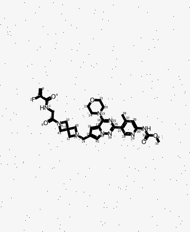 C=C(F)C(=O)NCC(=O)N1CC2(CN(Cc3cc4c(N5CCOCC5)nc(-c5cnc(NC(=O)OC)cc5C)nn4c3)C2)C1